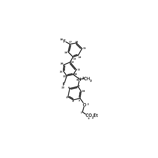 CCOC(=O)COc1cccc(N(C)c2cc(-c3cccc(F)c3)ccc2F)c1